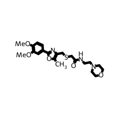 COc1ccc(-c2nc(CSCC(=O)NCCN3CCOCC3)c(C)o2)cc1OC